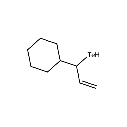 C=CC([TeH])C1CCCCC1